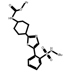 CC(C)OC(=O)NC1CCC(c2ncc(-c3ccccc3S(=O)(=O)NC(C)(C)C)s2)CC1